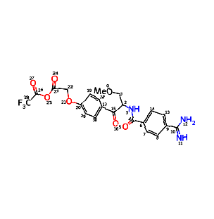 COCC(NC(=O)c1ccc(C(=N)N)cc1)C(=O)c1ccc(OCC(=O)OC(=O)C(F)(F)F)cc1